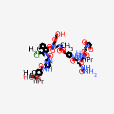 CCCC(CO)OC1=CC=C(C(=O)Nc2ccc3nc(C(=O)N4CC(CCl)c5c4cc(OC(=O)N(CCOCCO)CCN(C)C(=O)OCc4ccc(NC(=O)[C@H](CCCNC(N)=O)NC(=O)[C@@H](NC(=O)OCCN6C(=O)C=CC6=O)C(C)C)cc4)c4cccc(C)c54)cn3c2)C=CC1(C)CC